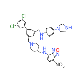 O=[N+]([O-])c1ccc(NCC2CCN(Cc3cc(CNc4ccc(N5CCNCC5)cc4)cc(-c4cc(Cl)cc(Cl)c4)c3)CC2)c2nonc12